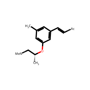 CNC[C@@H](C)Oc1cc(C)cc(/C=C/C(C)=O)c1